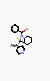 CNC(=S)[C@]1(c2cccnc2)CCCC[C@H]1NC(=O)c1ccccc1